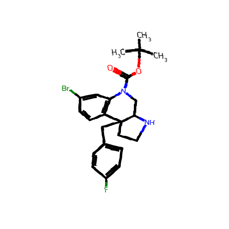 CC(C)(C)OC(=O)N1CC2NCCC2(Cc2ccc(F)cc2)c2ccc(Br)cc21